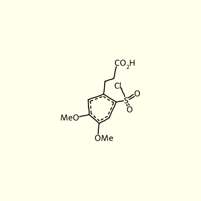 COc1cc(CCC(=O)O)c(S(=O)(=O)Cl)cc1OC